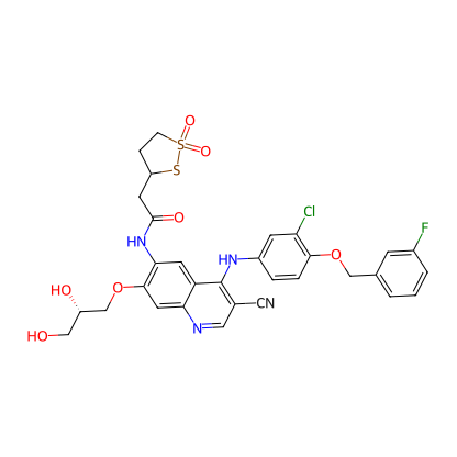 N#Cc1cnc2cc(OC[C@@H](O)CO)c(NC(=O)CC3CCS(=O)(=O)S3)cc2c1Nc1ccc(OCc2cccc(F)c2)c(Cl)c1